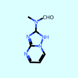 CN(C=O)C1N=C2N=CC=CN2N1